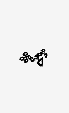 c1ccc(N(c2ccc3cc4c(cc3c2)-c2ccccc2C42c3ccccc3-c3ccccc32)c2ccc3c4ccccc4n(-c4ccccc4)c3c2)cc1